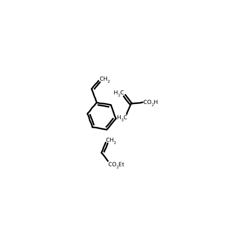 C=C(C)C(=O)O.C=CC(=O)OCC.C=Cc1ccccc1